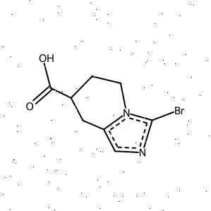 O=C(O)C1CCn2c(cnc2Br)C1